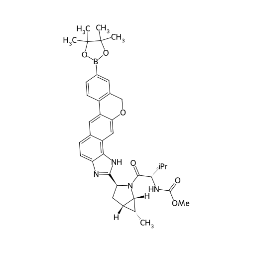 COC(=O)N[C@H](C(=O)N1[C@@H]2[C@H](C)[C@@H]2C[C@H]1c1nc2ccc3cc4c(cc3c2[nH]1)OCc1cc(B2OC(C)(C)C(C)(C)O2)ccc1-4)C(C)C